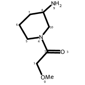 COCC(=O)N1CCCC(N)C1